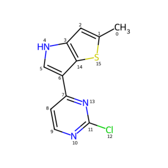 Cc1cc2[nH]cc(-c3ccnc(Cl)n3)c2s1